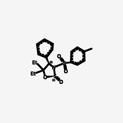 CCC1(CC)O[S@](=O)N(S(=O)(=O)c2ccc(C)cc2)[C@@H]1c1ccccc1